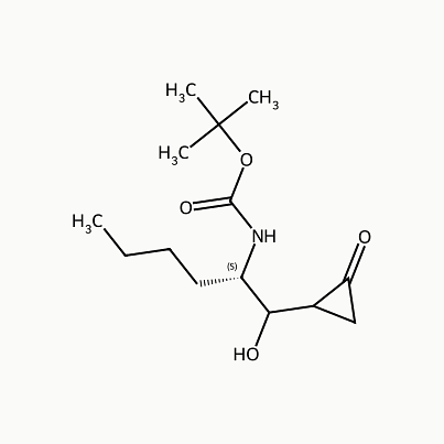 CCCC[C@H](NC(=O)OC(C)(C)C)C(O)C1CC1=O